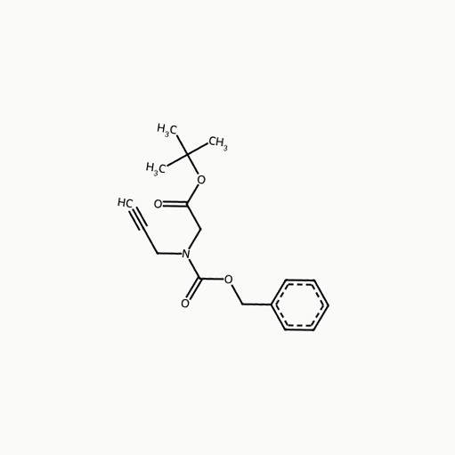 C#CCN(CC(=O)OC(C)(C)C)C(=O)OCc1ccccc1